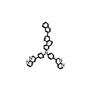 c1ccc2cc(-c3ccc4c(ccc5cc(N(c6ccc(-c7cnc8ncccc8c7)cc6)c6ccc(-c7cnc8ncccc8c7)cc6)ccc54)c3)ccc2c1